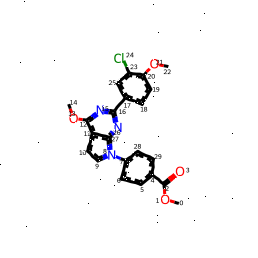 COC(=O)c1ccc(-n2ccc3c(OC)nc(-c4ccc(OC)c(Cl)c4)nc32)cc1